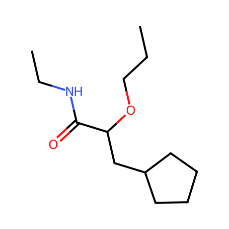 CCCOC(CC1CCCC1)C(=O)NCC